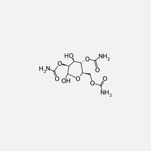 NC(=O)OC[C@H]1OC(O)[C@@H](OC(N)=O)[C@@H](O)[C@@H]1OC(N)=O